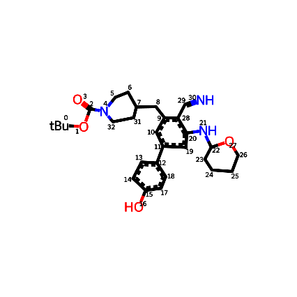 CC(C)(C)OC(=O)N1CCC(Cc2cc(-c3ccc(O)cc3)cc(NC3CCCCO3)c2C=N)CC1